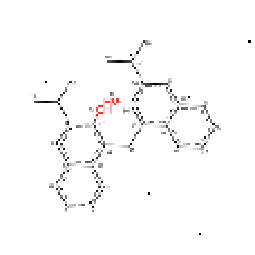 CC(C)c1cc2ccccc2c(Cc2c(O)c(C(C)C)cc3ccccc23)c1O